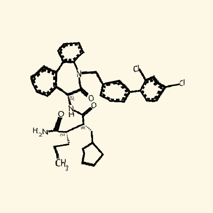 CCC[C@H](C(N)=O)[C@@H](CC1CCCC1)C(=O)N[C@@H]1C(=O)N(Cc2cccc(-c3ccc(Cl)cc3Cl)c2)c2ccccc2-c2ccccc21